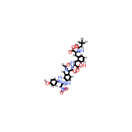 COc1ccc(NC(=C[N+](=O)[O-])Nc2ccc3c(c2)CN(C(C)=O)C3C(=O)NC(Cc2ccccc2CC(NC(=O)CC(C)(C)C)C(=O)O)C(=O)O)cc1